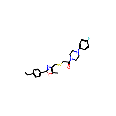 CCc1ccc(-c2nc(CSCC(=O)N3CCN(c4ccc(F)cc4)CC3)c(C)o2)cc1